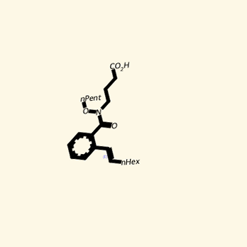 CCCCCC/C=C/c1ccccc1C(=O)N(CCCC(=O)O)OCCCCC